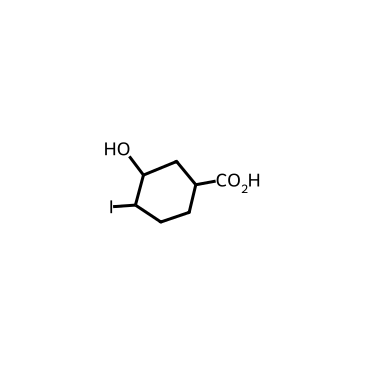 O=C(O)C1CCC(I)C(O)C1